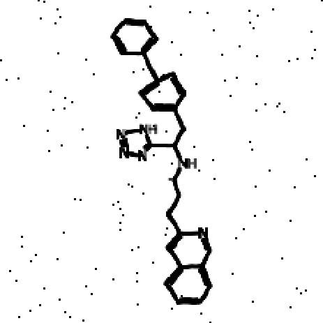 [CH](CCc1cc2ccccc2cn1)NC(Cc1ccc(-c2ccccc2)cc1)c1nnn[nH]1